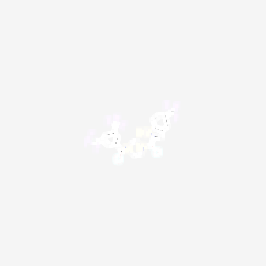 O=C(c1cc(C(F)(F)F)cc(C(F)(F)F)c1)N1CCN(C(=O)c2cc3cc(C(F)(F)F)ccc3[nH]2)CC1